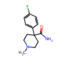 CN1CCC(C(N)=O)(c2ccc(F)cc2)CC1